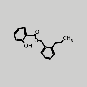 CCCc1ccccc1COC(=O)c1ccccc1O